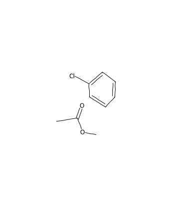 COC(C)=O.Clc1ccccc1